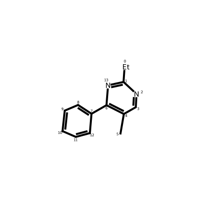 CCc1ncc(C)c(-c2ccccc2)n1